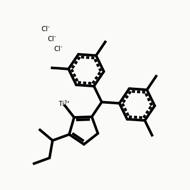 CCC(C)C1=CCC(C(c2cc(C)cc(C)c2)c2cc(C)cc(C)c2)=[C]1[Ti+3].[Cl-].[Cl-].[Cl-]